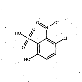 O=[N+]([O-])c1c(Cl)ccc(O)c1S(=O)(=O)O